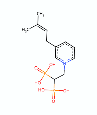 CC(C)=CCc1ccc[n+](CC(P(=O)(O)O)P(=O)(O)O)c1